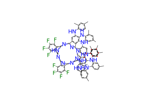 Cc1ccc(Nc2cc3c(c(Nc4ccc(C)cc4C)c2Nc2ccc(C)cc2C)-c2nc-3nc3[nH]c(nc4nc(nc5c6c(Nc7ccc(C)cc7C)c(Nc7ccc(C)cc7C)c(Nc7ccc(C)cc7C)c(Nc7ccc(C)cc7C)c6c(n2)n5Nc2ccc(C)cc2C)-c2c(F)c(F)c(F)c(F)c2-4)c2c(F)c(F)c(F)c(F)c32)c(C)c1